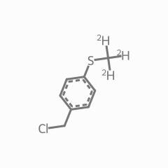 [2H]C([2H])([2H])Sc1ccc(CCl)cc1